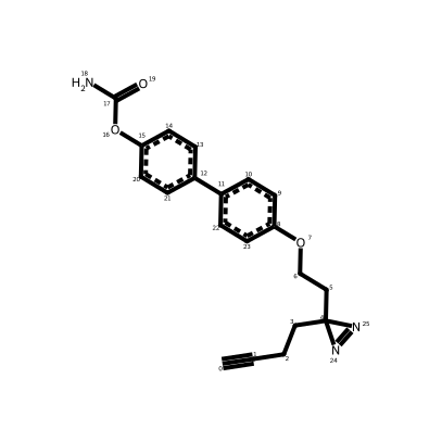 C#CCCC1(CCOc2ccc(-c3ccc(OC(N)=O)cc3)cc2)N=N1